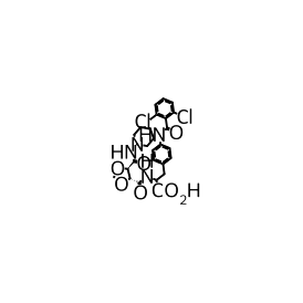 O=C(Nc1ccc(CC(NC(=O)[C@@H]2OCO[C@H]2C(=O)NN2CCCCC2)C(=O)O)cc1)c1c(Cl)cccc1Cl